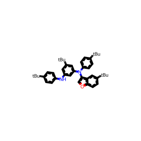 CC(C)(C)c1ccc(Nc2cc(N(c3ccc(C(C)(C)C)cc3)c3coc4ccc(C(C)(C)C)cc34)cc(C(C)(C)C)c2)cc1